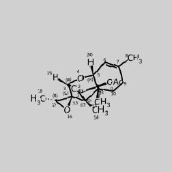 CC(=O)O[C@@H]1C[C@H]2O[C@@H]3C=C(C)CC[C@]3(C)[C@]1(C)[C@@]21O[C@@H]1C